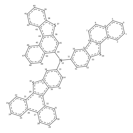 c1ccc2c(c1)ccc1c3cc(N(c4ccc5c(c4)sc4c6ccccc6c6ccccc6c54)c4cc5sc6ccccc6c5c5ccccc45)ccc3sc21